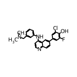 CN(C)Cc1cccc(Nc2ccnc3ccc(-c4cc(F)c(O)c(Cl)c4)cc23)c1